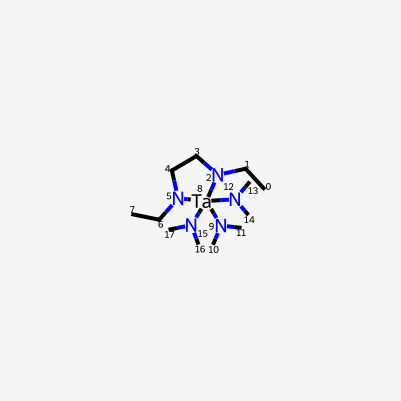 CC[N]1CC[N](CC)[Ta]1([N](C)C)([N](C)C)[N](C)C